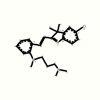 CN(C)CCCN(C)c1ccccc1/C=C/C1=Nc2ccc(Cl)cc2C1(C)C